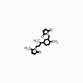 C=C1C=CC(=O)N1CCC(C)C1CCC(C)C(CN2C(=O)C=CC2=O)C1